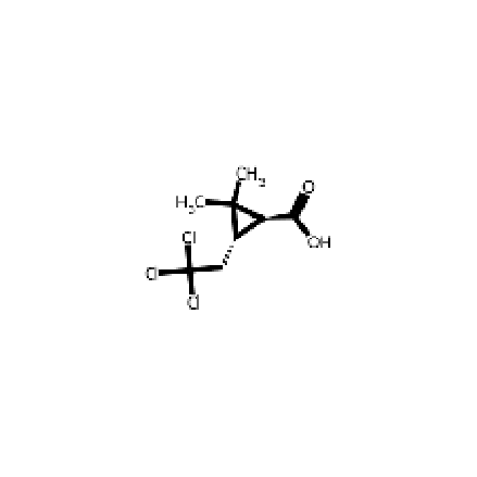 CC1(C)[C@@H](CC(Cl)(Cl)Cl)[C@@H]1C(=O)O